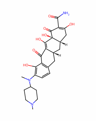 CN1CCC(N(C)c2ccc3c(c2O)C(=O)C2=C(O)[C@]4(O)C(=O)C(C(N)=O)=C(O)C[C@@H]4C[C@@H]2C3)CC1